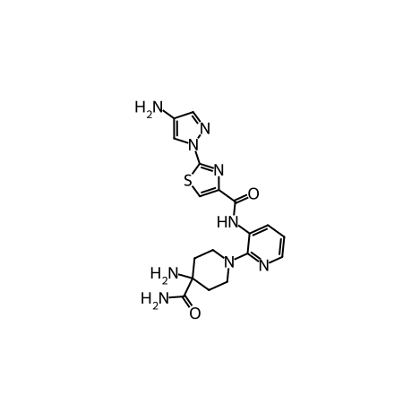 NC(=O)C1(N)CCN(c2ncccc2NC(=O)c2csc(-n3cc(N)cn3)n2)CC1